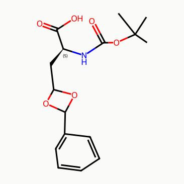 CC(C)(C)OC(=O)N[C@@H](CC1OC(c2ccccc2)O1)C(=O)O